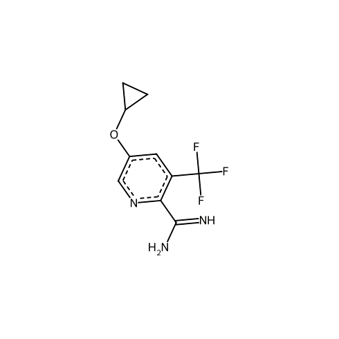 N=C(N)c1ncc(OC2CC2)cc1C(F)(F)F